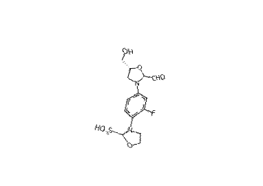 O=CC1O[C@@H](CO)CN1c1ccc(N2CCOC2S(=O)(=O)O)c(F)c1